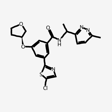 Cc1ccc(C(C)NC(=O)c2cc(O[C@H]3CCOC3)cc(-c3ncc(Cl)s3)c2)nn1